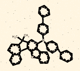 CC1(C)c2ccc3ccccc3c2-c2c1cc(N(c1ccc(-c3ccccc3)cc1)c1ccc(-c3ccccc3)cc1)c1c2oc2ccccc21